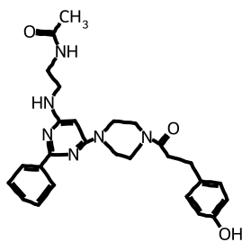 CC(=O)NCCNc1cc(N2CCN(C(=O)CCc3ccc(O)cc3)CC2)nc(-c2ccccc2)n1